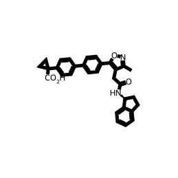 Cc1noc(-c2ccc(-c3ccc(C4(C(=O)O)CC4)cc3)cc2)c1CC(=O)N[C@H]1CCc2ccccc21